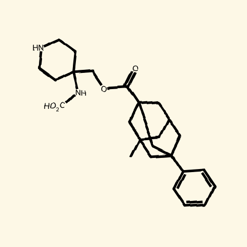 CC12CC3CC(C(=O)OCC4(NC(=O)O)CCNCC4)(C1)CC(c1ccccc1)(C3)C2